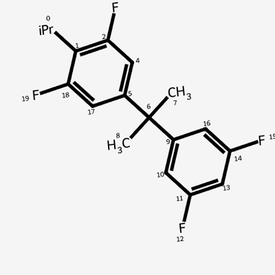 CC(C)c1c(F)cc(C(C)(C)c2cc(F)cc(F)c2)cc1F